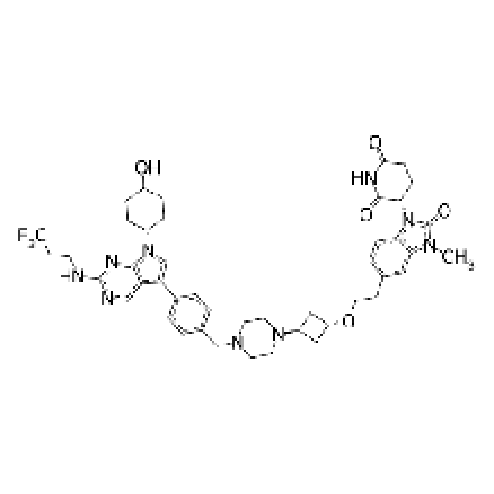 Cn1c(=O)n([C@H]2CCC(=O)NC2=O)c2ccc(CCO[C@H]3C[C@H](N4CCN(Cc5ccc(-c6cn([C@H]7CC[C@H](O)CC7)c7nc(NCCC(F)(F)F)ncc67)cc5)CC4)C3)cc21